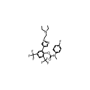 CCN(CC)CCn1cc(-c2cc(C(F)(F)F)cc(C(F)(F)F)c2OC(=O)N(C)c2ccc(F)cc2)cn1